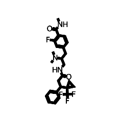 CNC(=O)c1ccc(CC(CNC(=O)CC(c2ccccc2)C2(C(F)(F)F)CC2)N(C)C)cc1F